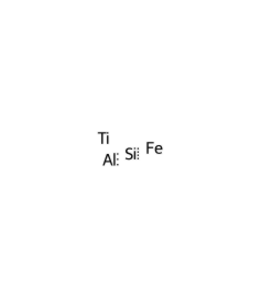 [Al].[Fe].[Si].[Ti]